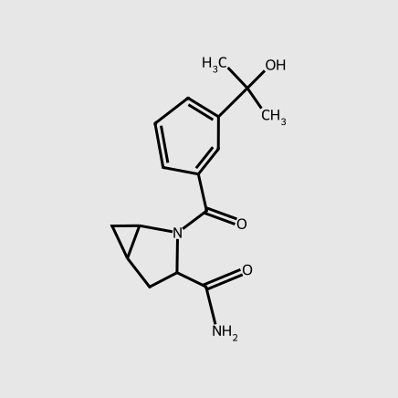 CC(C)(O)c1cccc(C(=O)N2C(C(N)=O)CC3CC32)c1